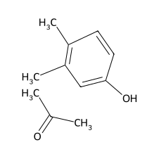 CC(C)=O.Cc1ccc(O)cc1C